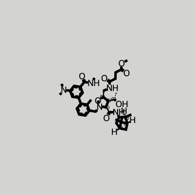 CNC(=O)c1cc(-c2cccc(CN3O[C@@H](CNC(=O)CCC(=O)OC)[C@@H]([C@H](C)O)[C@H]3C(=O)NC3C[C@H]4C[C@@H]([C@@H]3C)C4(C)C)c2C)cc(N(C)C)c1